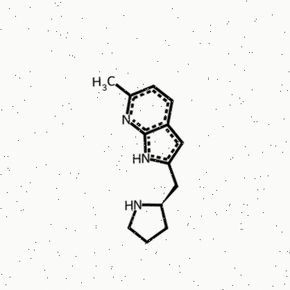 Cc1ccc2cc(C[C@H]3CCCN3)[nH]c2n1